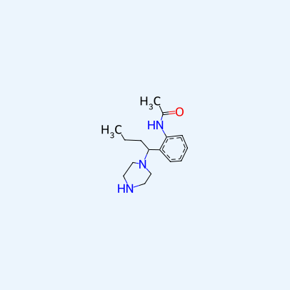 CCCC(c1ccccc1NC(C)=O)N1CCNCC1